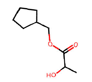 CC(O)C(=O)OCC1CCCC1